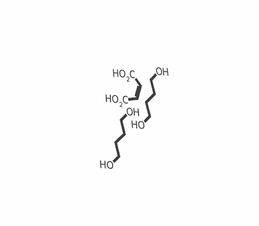 O=C(O)/C=C\C(=O)O.OCCCCO.OCCCCO